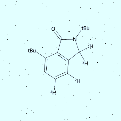 [2H]c1cc(C(C)(C)C)c2c(c1[2H])C([2H])([2H])N(C(C)(C)C)C2=O